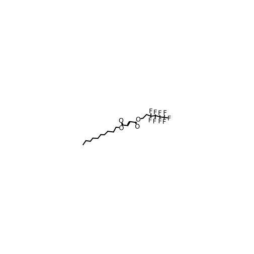 CCCCCCCCCCOC(=O)C=CC(=O)OCCC(F)(F)C(F)(F)C(F)(F)C(F)(F)F